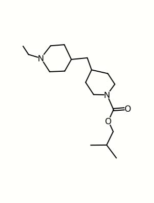 CCN1CCC(CC2CCN(C(=O)OCC(C)C)CC2)CC1